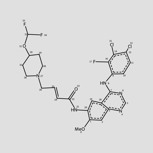 COc1cc2ncnc(Nc3ccc(Cl)c(Cl)c3F)c2cc1NC(=O)/C=C/CN1CCC(OC(F)F)CC1